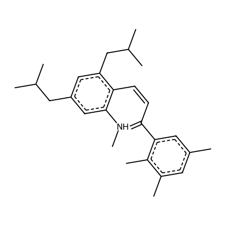 C=C(/C=C\c1c(CC(C)C)cc(CC(C)C)cc1NC)c1cc(C)cc(C)c1C